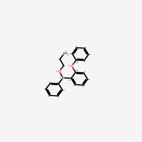 NCCOB(c1ccccc1)c1ccccc1Oc1ccccc1